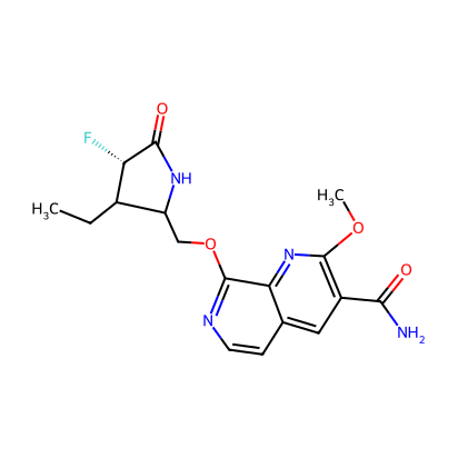 CCC1C(COc2nccc3cc(C(N)=O)c(OC)nc23)NC(=O)[C@H]1F